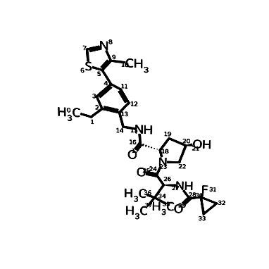 CCc1cc(-c2scnc2C)ccc1CNC(=O)[C@@H]1C[C@@H](O)CN1C(=O)[C@@H](NC(=O)C1(F)CC1)C(C)(C)C